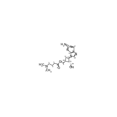 CN(C)CCCC(=O)OC[C@H]1C[C@@H](n2cnc3cnc(N)nc32)[C@@H]1CO